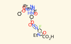 CCN1C=C(C(=O)O)C(=O)C2C=C(F)C(N3CCN(C(=O)OCc4ccc(NC(=O)[C@H](C)n5cc([C@@H](NC(=O)OCc6ccccc6)C(C)C)nn5)cc4)CC3)=CC21